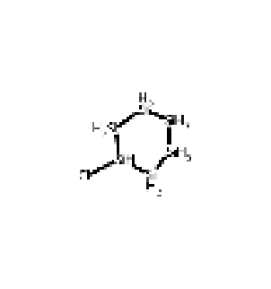 Cl[SiH]1[SiH2][SiH2][SiH2][SiH2][SiH2]1